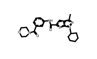 Cc1nn(C2CCCCC2)c2sc(C(=O)Nc3cccc(C(=O)N4CCOCC4)c3)cc12